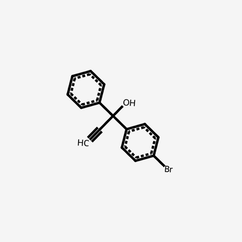 C#CC(O)(c1ccccc1)c1ccc(Br)cc1